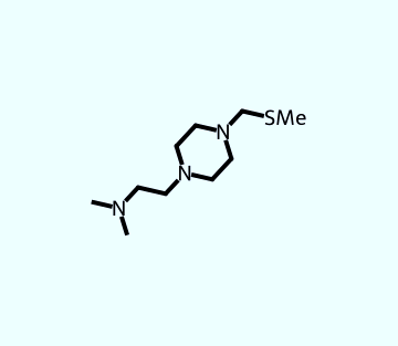 CSCN1CCN(CCN(C)C)CC1